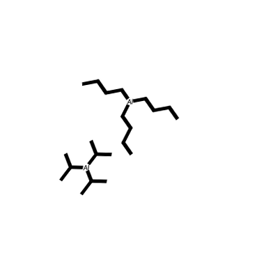 CCC[CH2][Al]([CH2]CCC)[CH2]CCC.C[CH](C)[Al]([CH](C)C)[CH](C)C